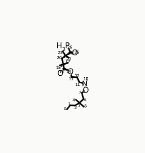 CCCC(C)(C)CCON(C)CCCOC(=O)C(C)(C)CC(C)(C)C(=O)P